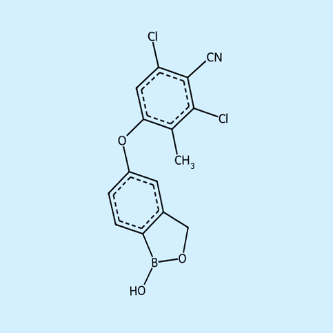 Cc1c(Oc2ccc3c(c2)COB3O)cc(Cl)c(C#N)c1Cl